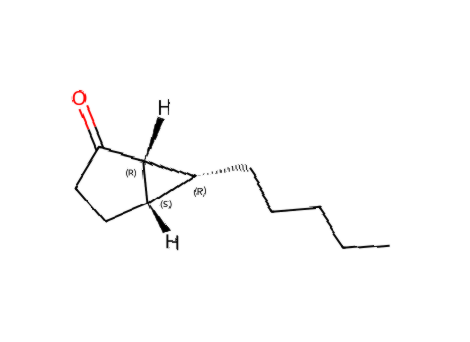 CCCCC[C@@H]1[C@@H]2CCC(=O)[C@H]12